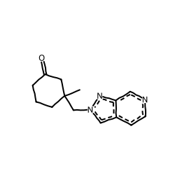 CC1(Cn2cc3ccncc3n2)CCCC(=O)C1